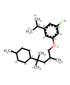 CC1CCC(C(C)(C)CC(C)COc2cc(F)cc(C(C)C)c2)CC1